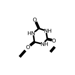 C=C.C=C.O=c1[nH]c(=O)[nH]c(=O)[nH]1